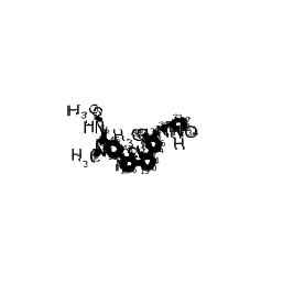 COCCNCc1cn(C)c2cc(-c3nccc(-c4cccc(-c5ccc(CNC[C@H]6CCC(=O)N6)c(OC)n5)c4Cl)c3Cl)ccc12